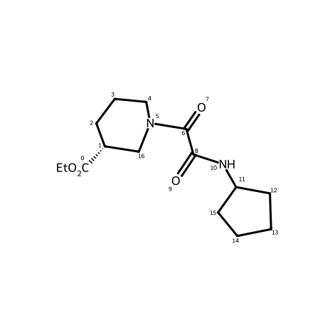 CCOC(=O)[C@@H]1CCCN(C(=O)C(=O)NC2CCCC2)C1